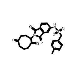 Cc1ccc(CS(=O)(=O)Nc2ccc3c(c2)C(=S)N(C2CCC(=O)CCCC2=O)C3=O)cc1